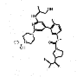 Cc1ccc(NC(=O)N2CCC(C(F)C(F)F)C2)cc1-c1cc(NC(C)CO)nc(N2CCOCC2)c1.O=S(=O)(O)O